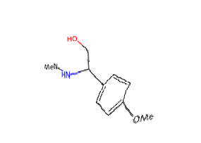 CNNC(CO)c1ccc(OC)cc1